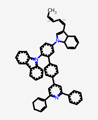 C/C=C\C=C/C1=CN(c2ccc(-n3c4ccccc4c4ccccc43)c(-c3ccc(-c4cc(C5=CCCC=C5)nc(-c5ccccc5)c4)cc3)c2)C2C=CC=CC12